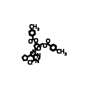 Cc1ccc(C(=O)OC[C@H]2O[C@@H](n3cc(C4CCCC4)c4c(Cl)ncnc43)C[C@@H]2OC(=O)c2ccc(C)cc2)cc1